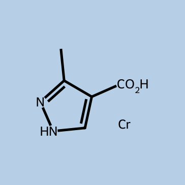 Cc1n[nH]cc1C(=O)O.[Cr]